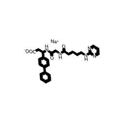 O=C([O-])CC(NC(=O)CNC(=O)CCCCNc1ncccn1)c1ccc(-c2ccccc2)cc1.[Na+]